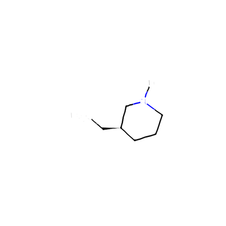 [CH2]CN1CCC[C@@H](CC(=O)O)C1